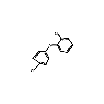 Clc1ccc(Sc2ccccc2Cl)cc1